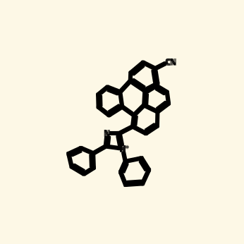 N#Cc1ccc(-c2ccccc2-c2c(C3=[N+](c4ccccc4)C(c4ccccc4)=N3)ccc3ccccc23)cc1